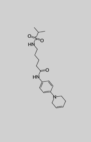 CC(C)S(=O)(=O)NCCCCC(=O)Nc1ccc(N2CC=CCC2)cc1